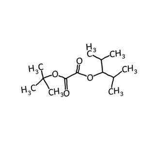 CC(C)C(OC(=O)C(=O)OC(C)(C)C)C(C)C